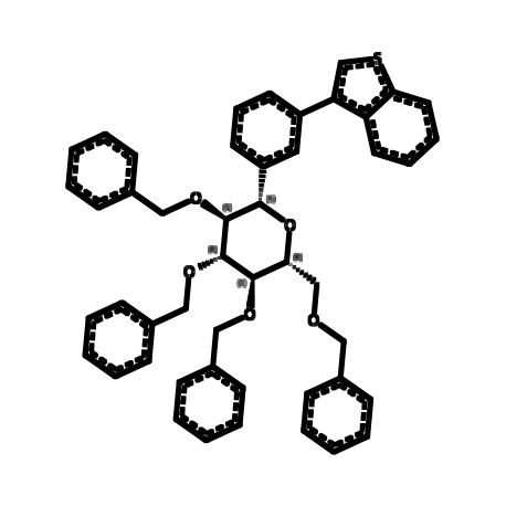 c1ccc(COC[C@H]2O[C@@H](c3cccc(-c4csc5ccccc45)c3)[C@H](OCc3ccccc3)[C@@H](OCc3ccccc3)[C@@H]2OCc2ccccc2)cc1